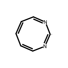 [C]1=N\C=C/C=C\C=N/1